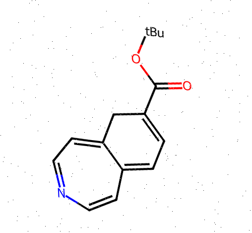 CC(C)(C)OC(=O)C1=CC=C2C=CN=CC=C2C1